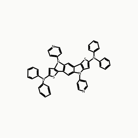 c1ccc(N(c2ccccc2)c2cc3c(s2)c2cc4c(cc2n3-c2ccncc2)c2sc(N(c3ccccc3)c3ccccc3)cc2n4-c2ccncc2)cc1